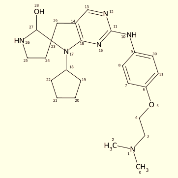 CN(C)CCOc1ccc(Nc2ncc3c(n2)N(C2CCCC2)C2(CCNC2O)C3)cc1